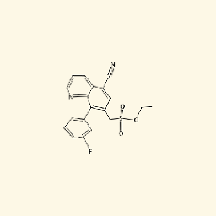 CCOS(=O)(=O)Cc1cc(C#N)c2cccnc2c1-c1cccc(F)c1